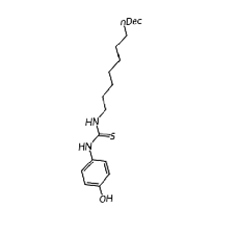 CCCCCCCCCCCCCCCCCNC(=S)Nc1ccc(O)cc1